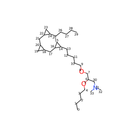 CCCCCOC(COCCCCCC1CC1CC1CC1CC1CC1CCCCC)CN(C)C